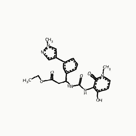 CCOC(=O)CC(NC(=O)Nc1c(O)ccn(C)c1=O)c1cccc(-c2cnn(C)c2)c1